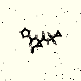 C=CC1CC1(NC(=O)N1CCCC1)C(=O)NS(=O)(=O)C1CC1